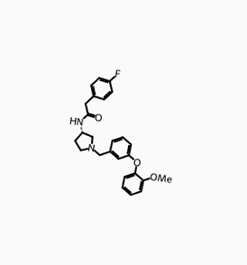 COc1ccccc1Oc1cccc(CN2CC[C@H](NC(=O)Cc3ccc(F)cc3)C2)c1